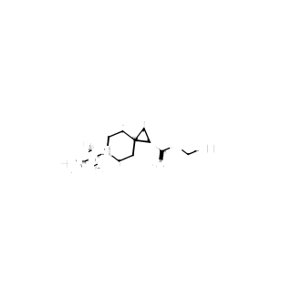 CCOC(=O)[C@@H]1CC12CCN(S(N)(=O)=O)CC2